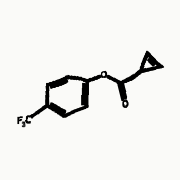 O=C(Oc1ccc(C(F)(F)F)cc1)C1C=C1